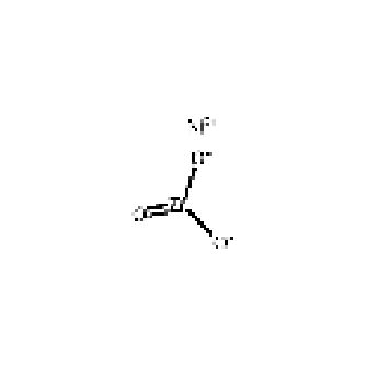 [Ni+2].[O]=[Zr]([O-])[O-]